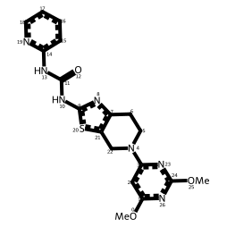 COc1cc(N2CCc3nc(NC(=O)Nc4ccccn4)sc3C2)nc(OC)n1